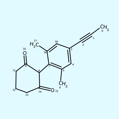 CC#Cc1cc(C)c(C2C(=O)CCCC2=O)c(C)c1